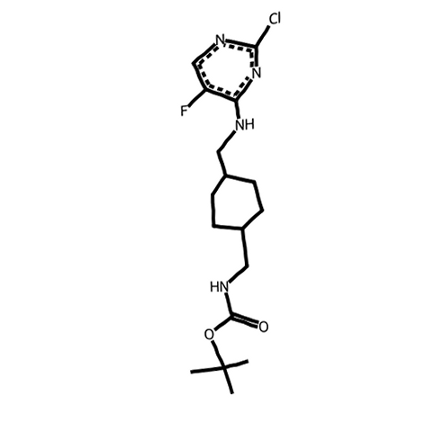 CC(C)(C)OC(=O)NCC1CCC(CNc2nc(Cl)ncc2F)CC1